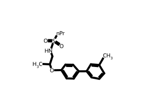 CCCS(=O)(=O)NCC(C)Oc1ccc(-c2cccc(C)c2)cc1